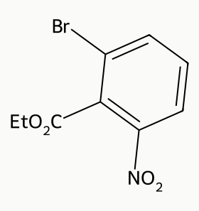 CCOC(=O)c1c(Br)cccc1[N+](=O)[O-]